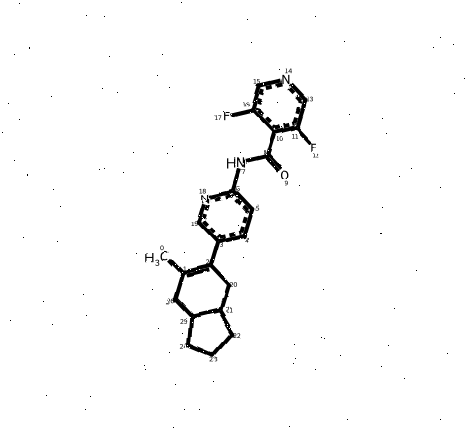 CC1=C(c2ccc(NC(=O)c3c(F)cncc3F)nc2)CC2CCCC2C1